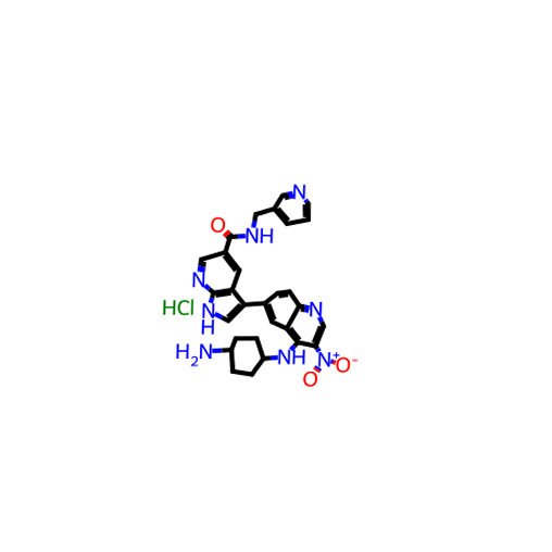 Cl.NC1CCC(Nc2c([N+](=O)[O-])cnc3ccc(-c4c[nH]c5ncc(C(=O)NCc6cccnc6)cc45)cc23)CC1